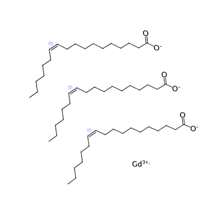 CCCCCC/C=C\CCCCCCCCCC(=O)[O-].CCCCCC/C=C\CCCCCCCCCC(=O)[O-].CCCCCC/C=C\CCCCCCCCCC(=O)[O-].[Gd+3]